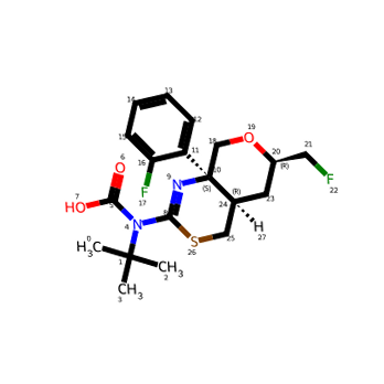 CC(C)(C)N(C(=O)O)C1=N[C@@]2(c3ccccc3F)CO[C@@H](CF)C[C@H]2CS1